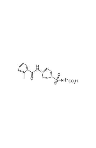 Cc1ccccc1C(=O)Nc1ccc(S(=O)(=O)NCC(=O)O)cc1